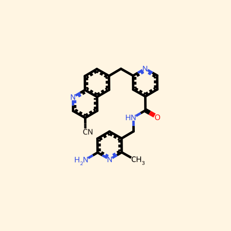 Cc1nc(N)ccc1CNC(=O)c1ccnc(Cc2ccc3ncc(C#N)cc3c2)c1